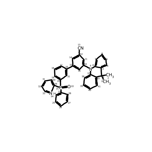 CC1(C)c2ccccc2N(c2cc(C#N)cc(-c3cccc(P(=O)(c4ccccc4)c4ccccn4)c3)c2)c2ccccc21